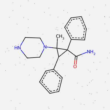 CC1(N2CCNCC2)C(c2ccccc2)C1(C(N)=O)c1ccccc1